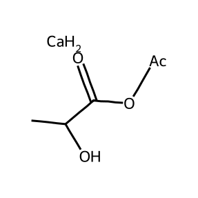 CC(=O)OC(=O)C(C)O.[CaH2]